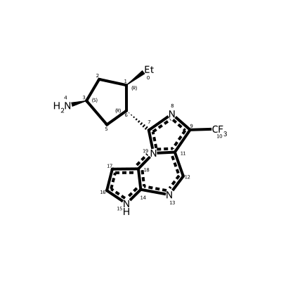 CC[C@@H]1C[C@H](N)C[C@H]1c1nc(C(F)(F)F)c2cnc3[nH]ccc3n12